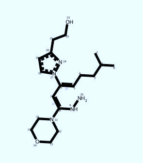 CC(C)CC/C=C(/C=C(\NN)N1CCOCC1)n1ccc(CCO)n1